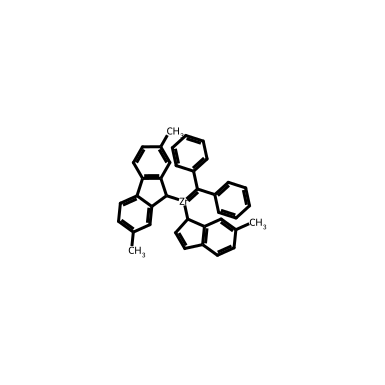 Cc1ccc2c(c1)[CH]([Zr](=[C](c1ccccc1)c1ccccc1)[CH]1c3cc(C)ccc3-c3ccc(C)cc31)C=C2